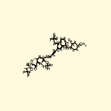 [2H]C([2H])([2H])Oc1nc(C(=O)NS(=O)(=O)CC(F)(F)F)ccc1NCC#Cc1cc2c(N[C@@H]3CCN(C)C[C@@H]3F)cccn2c1CC(F)(F)F